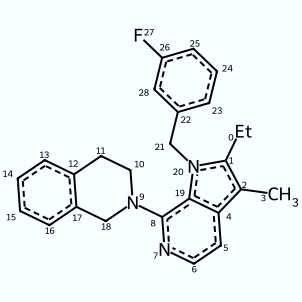 CCc1c(C)c2ccnc(N3CCc4ccccc4C3)c2n1Cc1cccc(F)c1